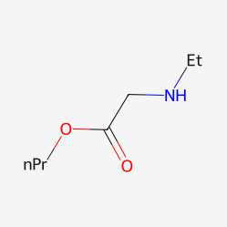 CCCOC(=O)CNCC